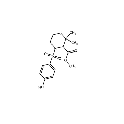 COC(=O)C1N(S(=O)(=O)c2ccc(O)cc2)CCSC1(C)C